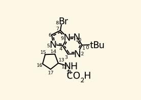 CC(C)(C)c1ncc2ncc(Br)n2n1.O=C(O)NC1CCCC1